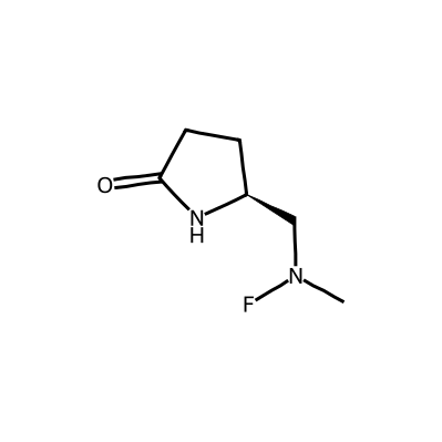 CN(F)C[C@@H]1CCC(=O)N1